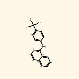 FC(F)(F)c1ccc(Nc2nccc3ccccc23)cc1